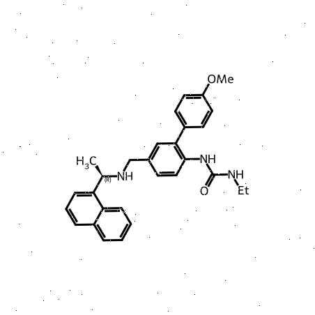 CCNC(=O)Nc1ccc(CN[C@H](C)c2cccc3ccccc23)cc1-c1ccc(OC)cc1